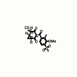 COc1c(S(C)(=O)=O)ccc(C(=O)[C@H]2C(=O)[C@@H]3C[C@@H]3[C@](C)(C(=O)O)C2=O)c1C